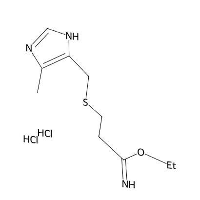 CCOC(=N)CCSCc1[nH]cnc1C.Cl.Cl